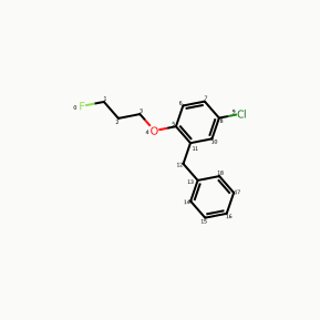 FCCCOc1ccc(Cl)cc1Cc1ccccc1